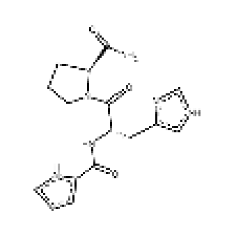 NC(=O)[C@@H]1CCCN1C(=O)[C@H](Cc1c[nH]cn1)NC(=O)c1ccc[nH]1